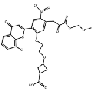 COCOC(=O)C(=O)Cc1cc(OCCOC2CC(C(=O)O)C2)c(-c2cc(=O)c3cccc(Cl)c3o2)cc1[N+](=O)[O-]